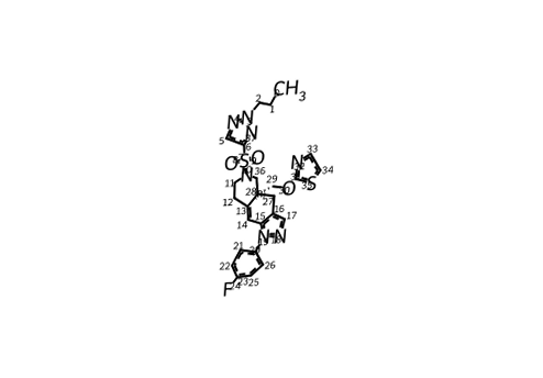 CCCn1ncc(S(=O)(=O)N2CCC3=Cc4c(cnn4-c4ccc(F)cc4)C[C@]3(COc3nccs3)C2)n1